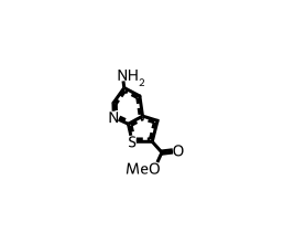 COC(=O)c1cc2cc(N)cnc2s1